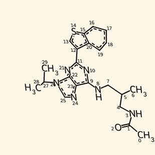 CC(=O)NCC(C)CNc1nc(-c2csc3ccccc23)nc2c1ncn2C(C)C